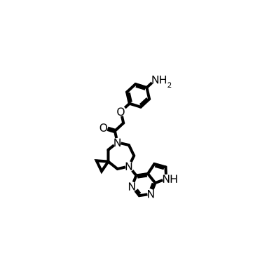 Nc1ccc(OCC(=O)N2CCN(c3ncnc4[nH]ccc34)CC3(CC3)C2)cc1